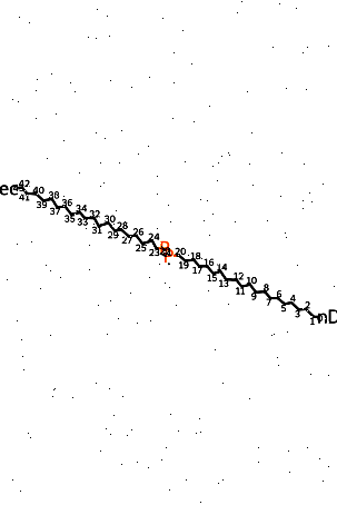 CCCCCCCCCCCCCCCCCCCCCCCCCCCCCC[P][P]CCCCCCCCCCCCCCCCCCCCCCCCCCCCCC